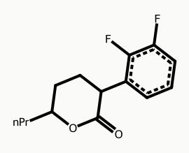 CCCC1CCC(c2cccc(F)c2F)C(=O)O1